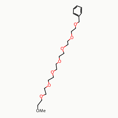 COCCOCCOCCOCCOCCOCCOCCOCc1ccccc1